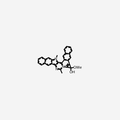 COC1(O)C2(C)c3cc4ccccc4cc3-c3c4c(nc(C)[n+]3C12C)c1cc2ccccc2cc1n4C